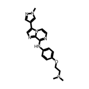 CN(C)CCOc1ccc(Nc2nccn3c(-c4cnn(C)c4)cnc23)cc1